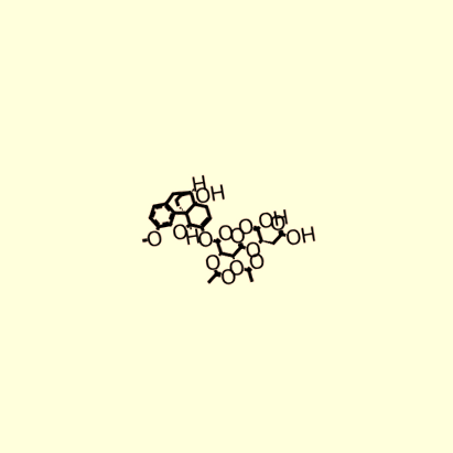 COc1ccc2c3c1O[C@@H]1C(OC(=O)[C@H](OC(C)=O)[C@@H](OC(C)=O)C(=O)O[C@H](CC(=O)O)C(=O)O)=CC[C@]4(O)[C@@H](CCC[C@@]314)C2